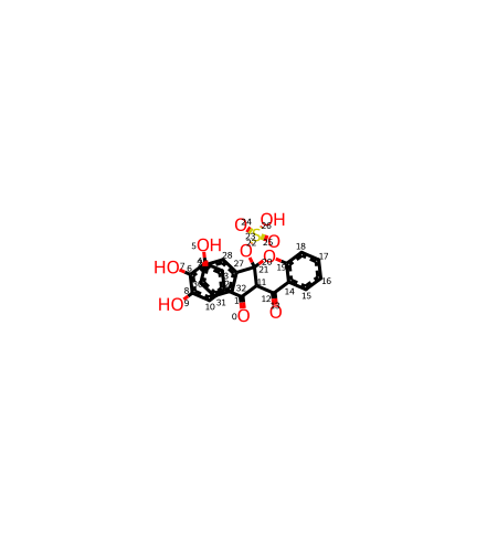 O=C(c1cc(O)c(O)c(O)c1)C1C(=O)c2ccccc2OC1(OS(=O)(=O)O)c1ccccc1